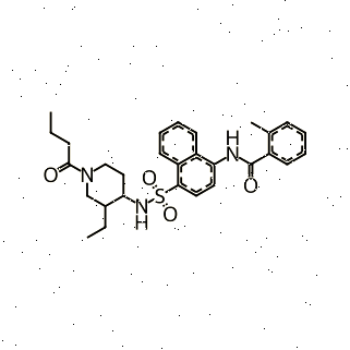 CCCC(=O)N1CCC(NS(=O)(=O)c2ccc(NC(=O)c3ccccc3C)c3ccccc23)C(CC)C1